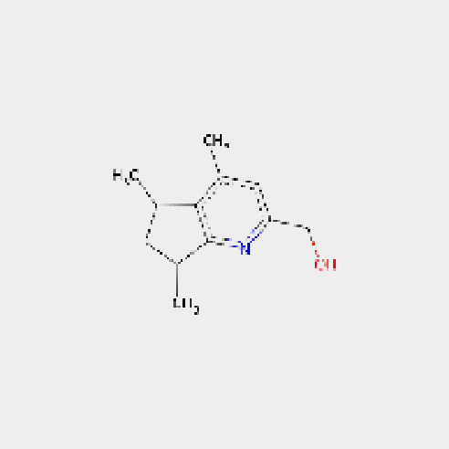 Cc1cc(CO)nc2c1C(C)CC2C